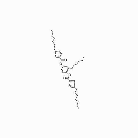 CCCCCCCc1ccc(C(=O)Oc2ccc(OC(=O)c3ccc(CCCCCCC)cc3)c(CCCCCC)c2)cc1